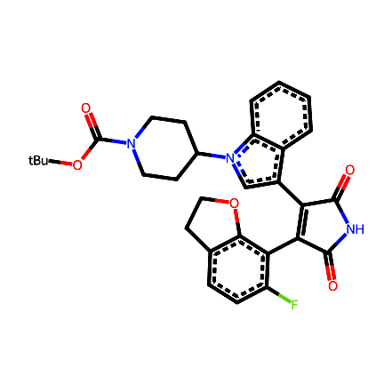 CC(C)(C)OC(=O)N1CCC(n2cc(C3=C(c4c(F)ccc5c4OCC5)C(=O)NC3=O)c3ccccc32)CC1